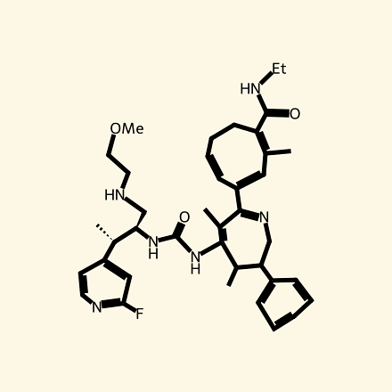 CCNC(=O)/C1=C(C)/C=C(C2=NCC(c3ccccc3)C(C)C(NC(=O)N[C@H](CNCCOC)[C@@H](C)c3ccnc(F)c3)=C2C)\C=C/CC1